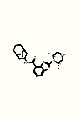 C[C@@H]1CNC[C@H](C)N1c1nc2c(C(=O)NC3CC4CCCC(C3)N4C)cccc2o1